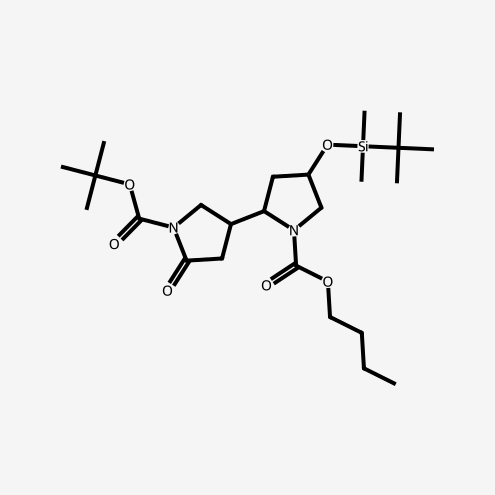 CCCCOC(=O)N1CC(O[Si](C)(C)C(C)(C)C)CC1C1CC(=O)N(C(=O)OC(C)(C)C)C1